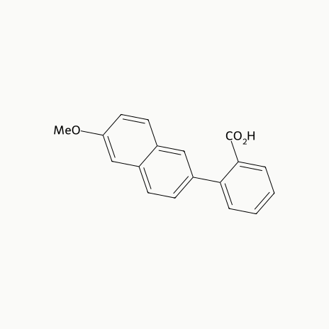 COc1ccc2cc(-c3ccccc3C(=O)O)ccc2c1